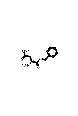 COC(=O)C[C@H](NC(C)=O)C(=O)OCc1ccccc1